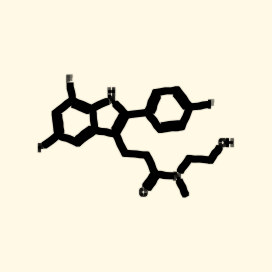 CN(CCO)C(=O)CCc1c(-c2ccc(F)cc2)[nH]c2c(F)cc(F)cc12